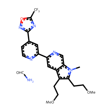 COCCc1c(CCOC)n(C)c2cnc(-c3cc(-c4noc(C(F)(F)F)n4)ccn3)cc12.NC=O